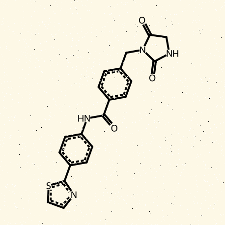 O=C(Nc1ccc(-c2nccs2)cc1)c1ccc(CN2C(=O)CNC2=O)cc1